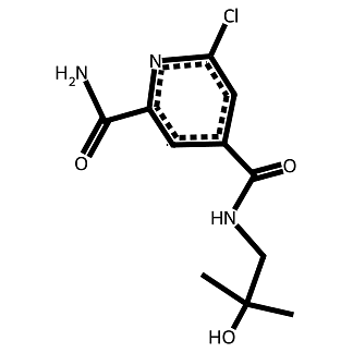 CC(C)(O)CNC(=O)c1[c]c(C(N)=O)nc(Cl)c1